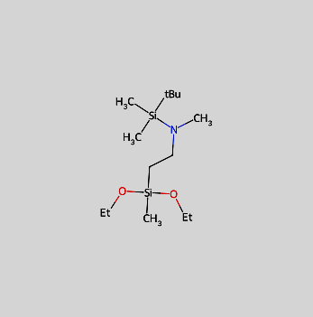 CCO[Si](C)(CCN(C)[Si](C)(C)C(C)(C)C)OCC